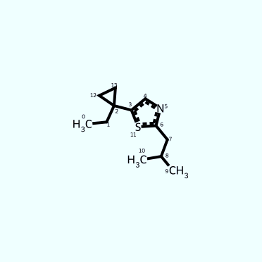 CCC1(c2cnc(CC(C)C)s2)CC1